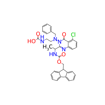 CC(NC(=O)OCC1c2ccccc2-c2ccccc21)c1nc2cccc(Cl)c2c(=O)n1N(CCNC(=O)O)Cc1ccccc1